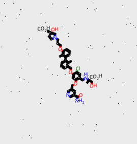 Cc1c(COc2cc(OCc3cncc(C(N)=O)c3)c(CN[C@@](C)(CO)C(=O)O)cc2Cl)cccc1-c1cccc(OCCCN2CCC(O)(CC(=O)O)C2)c1C